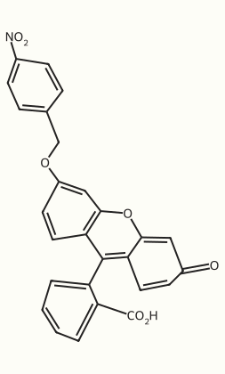 O=C(O)c1ccccc1-c1c2ccc(=O)cc-2oc2cc(OCc3ccc([N+](=O)[O-])cc3)ccc12